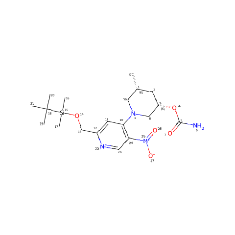 C[C@@H]1C[C@H](OC(N)=O)CN(c2cc(CO[Si](C)(C)C(C)(C)C)ncc2[N+](=O)[O-])C1